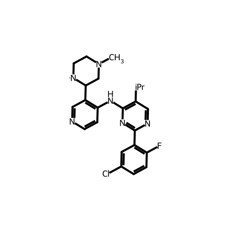 CC(C)c1cnc(-c2cc(Cl)ccc2F)nc1Nc1ccncc1C1CN(C)CC[N]1